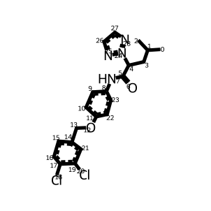 CC(C)CC(C(=O)Nc1ccc(OCc2ccc(Cl)c(Cl)c2)cc1)n1nccn1